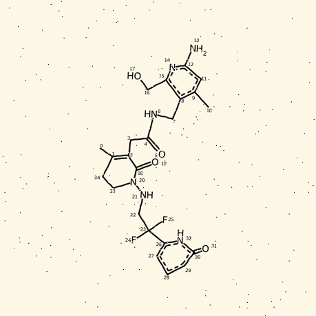 CC1=C(CC(=O)NCc2c(C)cc(N)nc2CO)C(=O)N(NCC(F)(F)c2cccc(=O)[nH]2)CC1